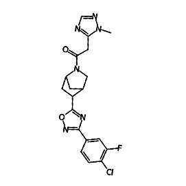 Cn1ncnc1CC(=O)N1CC2CC1CC2c1nc(-c2ccc(Cl)c(F)c2)no1